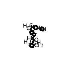 CN(C(=O)c1ccc2c(c1)CCC2NC(=O)C(C)(C)c1ccccc1Cl)C1CCN(c2ccncc2)CC1